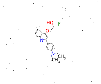 CCN(CC)c1ccc(-c2cc(OCC(O)CF)c3ccccc3n2)cc1